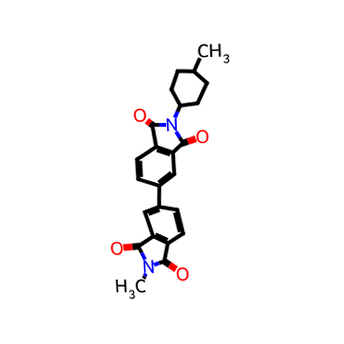 CC1CCC(N2C(=O)c3ccc(-c4ccc5c(c4)C(=O)N(C)C5=O)cc3C2=O)CC1